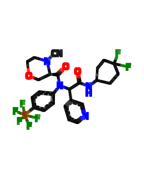 N#CN1CCOC[C@@H]1C(=O)N(c1ccc(S(F)(F)(F)(F)F)cc1)C(C(=O)NC1CCC(F)(F)CC1)c1cccnc1